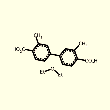 CCOCC.Cc1cc(-c2ccc(C(=O)O)c(C)c2)ccc1C(=O)O